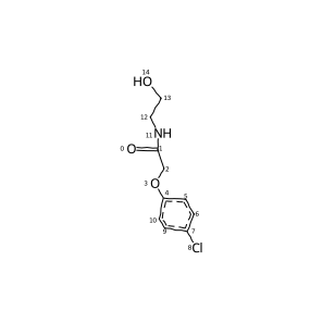 O=C(COc1ccc(Cl)cc1)NCCO